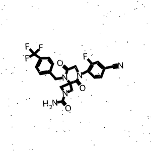 N#Cc1ccc(N2CC(=O)N(Cc3ccc(C(F)(F)F)cc3)C3(CN(C(N)=O)C3)C2=O)c(F)c1